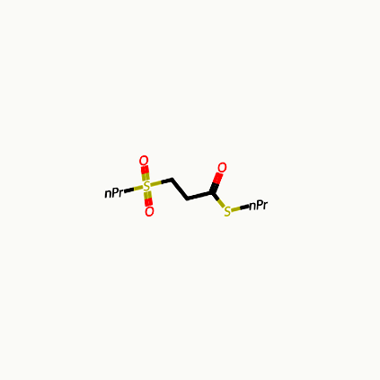 CCCSC(=O)CCS(=O)(=O)CCC